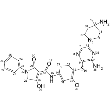 CC1(N)CCN(c2cnc(Sc3ccc(NC(=O)C4=C(O)CN(c5ccccc5)C4=O)cc3Cl)c(N)n2)CC1